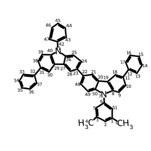 Cc1cc(C)cc(-n2c3ccc(-c4ccccc4)cc3c3cc(-c4ccc5c(c4)c4cc(-c6ccccc6)ccc4n5-c4ccccc4)ccc32)c1